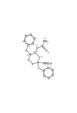 C#CC1(Cc2ccccc2)CCN(Cc2ccccc2)C(OC(N)=O)C1